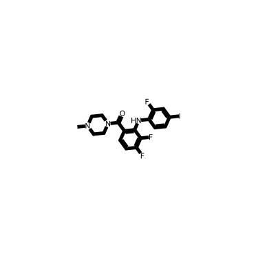 CN1CCN(C(=O)c2ccc(F)c(F)c2Nc2ccc(I)cc2F)CC1